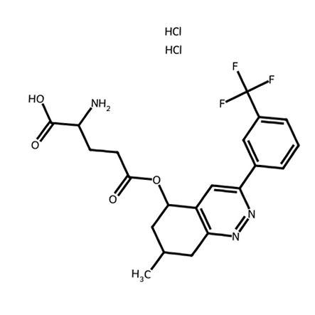 CC1Cc2nnc(-c3cccc(C(F)(F)F)c3)cc2C(OC(=O)CCC(N)C(=O)O)C1.Cl.Cl